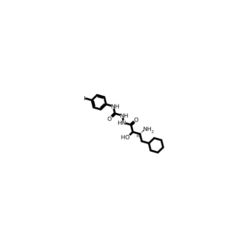 N[C@H](CC1CCCCC1)C(O)C(=O)NNC(=O)Nc1ccc(I)cc1